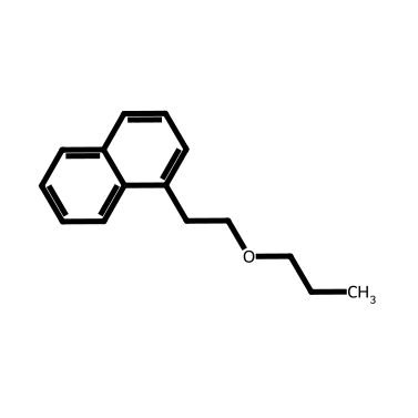 CCCOCCc1cccc2ccccc12